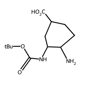 CC(C)(C)OC(=O)NC1CC(C(=O)O)CCC1N